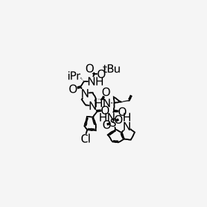 C=C[C@@H]1C[C@]1(NC(=O)[C@H]1CN(C(=O)[C@@H](NC(=O)OC(C)(C)C)C(C)C)CCN1C(=O)c1ccc(Cl)cc1)C(=O)NS(=O)(=O)c1cccc2c1NCC2